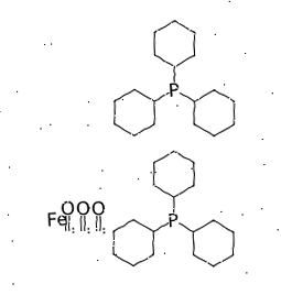 C1CCC(P(C2CCCCC2)C2CCCCC2)CC1.C1CCC(P(C2CCCCC2)C2CCCCC2)CC1.[C]=O.[C]=O.[C]=O.[Fe]